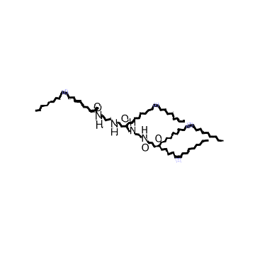 CCCCCCCC/C=C\CCCCCCCC(=O)NCCCNCCC(CNCCCNC(=O)CCC(CCCC/C=C\CCCCCCCC)C(=O)CCCCCCC/C=C\CCCCCCCC)C(=O)CCCCCCC/C=C\CCCCCCCC